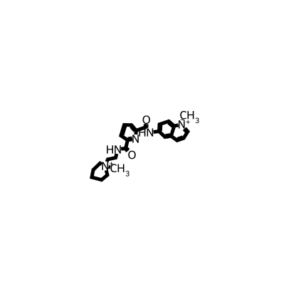 C[n+]1cccc2cc(NC(=O)c3cccc(C(=O)NCC[N+]4(C)CCCCC4)n3)ccc21